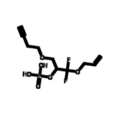 C#CCCOCC(OP(=O)(O)O)C(F)(F)OCC=C